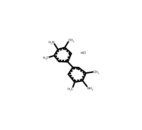 Cc1cc(-c2cc(C)c(N)c(C)c2)cc(C)c1N.Cl